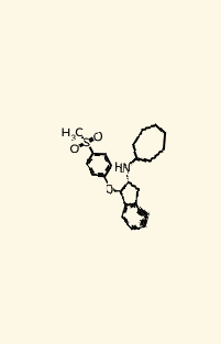 CS(=O)(=O)c1ccc(O[C@@H]2c3ccccc3C[C@H]2NC2CCCCCC2)cc1